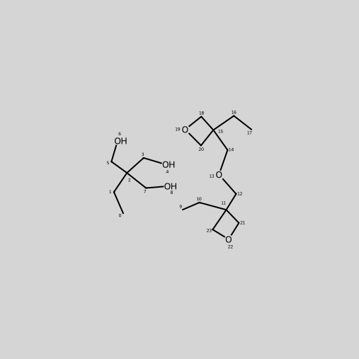 CCC(CO)(CO)CO.CCC1(COCC2(CC)COC2)COC1